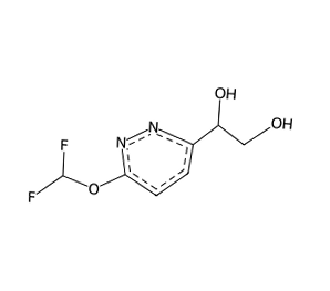 OCC(O)c1ccc(OC(F)F)nn1